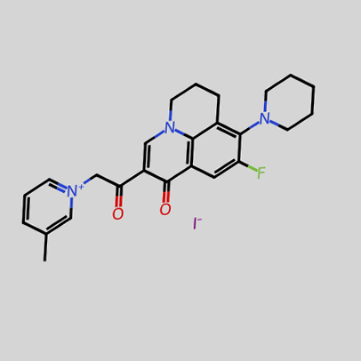 Cc1ccc[n+](CC(=O)c2cn3c4c(c(N5CCCCC5)c(F)cc4c2=O)CCC3)c1.[I-]